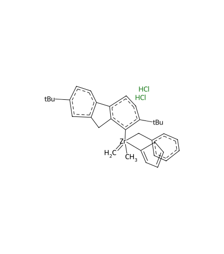 Cl.Cl.[CH2]=[Zr]([CH3])([CH2]c1ccccc1)([C]1=CC=CC1)[c]1c(C(C)(C)C)ccc2c1Cc1cc(C(C)(C)C)ccc1-2